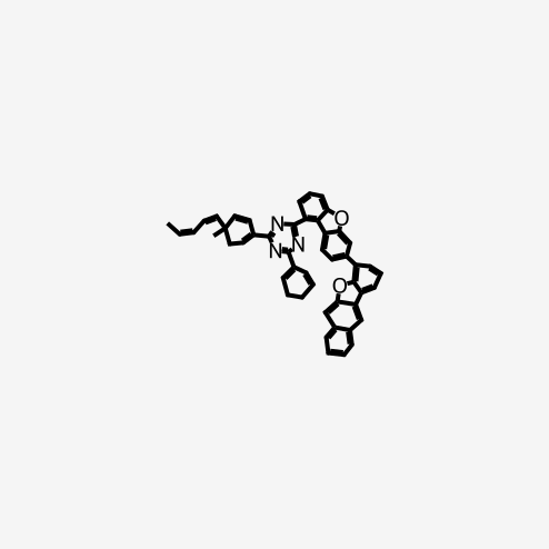 C/C=C\C=C/C1(C)C=CC(c2nc(C3=CCCC=C3)nc(-c3cccc4oc5cc(-c6cccc7c6oc6cc8ccccc8cc67)ccc5c34)n2)=CC1